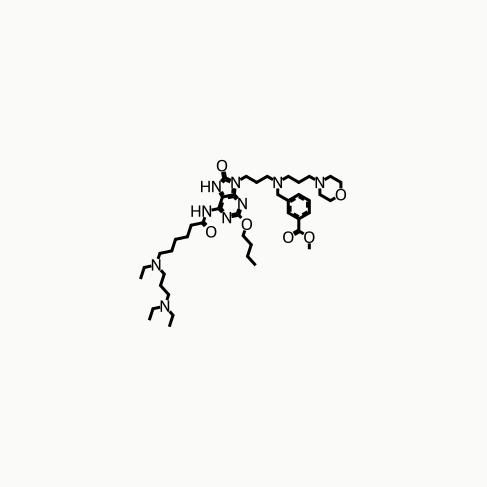 CCCCOc1nc(NC(=O)CCCCCN(CC)CCCN(CC)CC)c2[nH]c(=O)n(CCCN(CCCN3CCOCC3)Cc3cccc(C(=O)OC)c3)c2n1